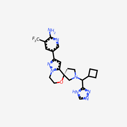 Nc1ncc(-c2cc3n(n2)CCO[C@@]32CCN(C(c3nnc[nH]3)C3CCC3)C2)cc1C(F)(F)F